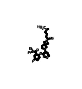 CCN(C(=O)c1cc(F)ccc1Oc1nnccc1N1CCC2(C1)CN(C(CCCN(C)C(=O)O)C(C)C)C2)C(C)C